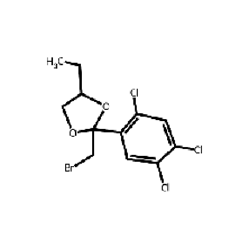 CCC1COC(CBr)(c2cc(Cl)c(Cl)cc2Cl)O1